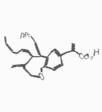 C=C1COc2ccc(C(=C)C(=O)O)cc2C(=C/CCC)/C1=C/C=C\C